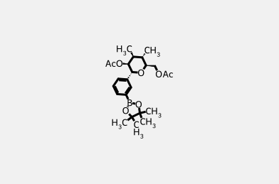 CC(=O)OC[C@H]1O[C@H](c2cccc(B3OC(C)(C)C(C)(C)O3)c2)[C@@H](OC(C)=O)[C@@H](C)[C@@H]1C